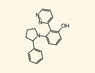 Oc1cccc(N2CCCC2c2ccccc2)c1-c1cccnn1